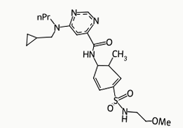 CCCN(CC1CC1)c1cc(C(=O)NC2C=CC(S(=O)(=O)NCCOC)=CC2C)ncn1